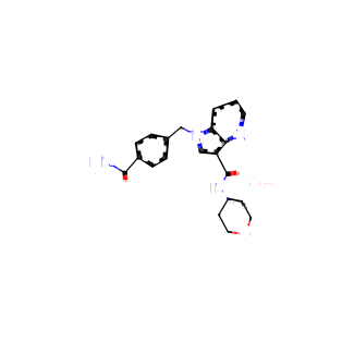 NC(=O)c1ccc(Cn2cc(C(=O)N[C@@H]3CCOC[C@H]3O)c3ncccc32)cc1